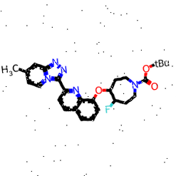 Cc1ccn2c(-c3ccc4cccc(OC5CCN(C(=O)OC(C)(C)C)CCC5F)c4n3)nnc2c1